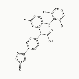 Cc1ccc(Nc2c(F)cccc2Cl)c(C(C(=O)O)c2ccc(-c3cc(=S)ss3)cc2)c1